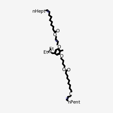 CCCCC/C=C\C=C=CCCCCCCCC(=O)OCCCCOc1cc(CN(CC)CC)cc(OC/C=C/COC(=O)CCCCCCC/C=C\CCCCCCC)c1C